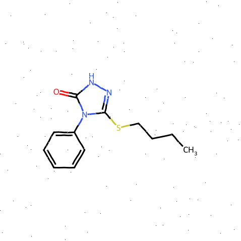 CCCCSc1n[nH]c(=O)n1-c1ccccc1